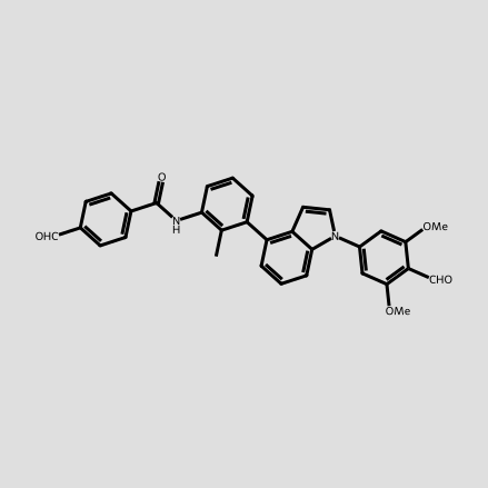 COc1cc(-n2ccc3c(-c4cccc(NC(=O)c5ccc(C=O)cc5)c4C)cccc32)cc(OC)c1C=O